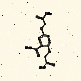 COC(=O)COc1ccc(OCC(=O)OC)c(C(=O)OC)c1